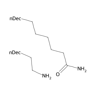 CCCCCCCCCCCCCCCC(N)=O.CCCCCCCCCCCCN